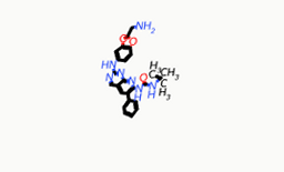 CC(C)(C)NC(=O)Nc1nc2nc(Nc3ccc4c(c3)OC(CN)O4)ncc2cc1-c1ccccc1